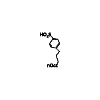 CCCCCCCCCCCc1ccc(S(=O)(=O)O)cc1